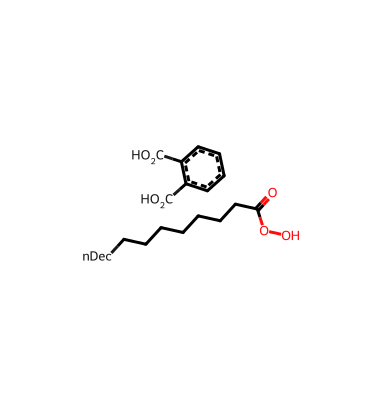 CCCCCCCCCCCCCCCCCC(=O)OO.O=C(O)c1ccccc1C(=O)O